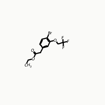 CCOC(=O)Cc1ccc(Br)c(OCC(F)(F)F)c1